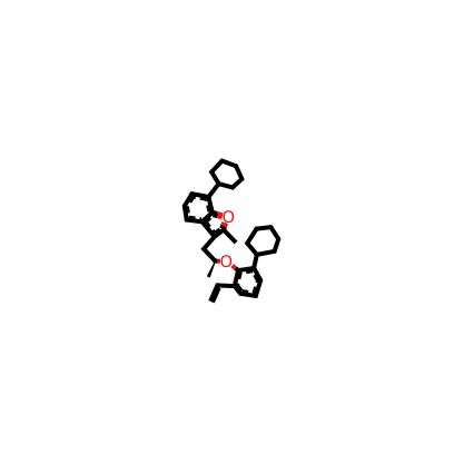 C=Cc1cccc(C2CCCCC2)c1O[C@@H](C)Cc1c(C)oc2c(C3CCCCC3)cccc12